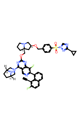 C#Cc1c(F)ccc2cccc(-c3ncc4c(N5C[C@H]6CC[C@@H](C5)N6)nc(OC[C@@]56CCCN5C[C@@H](OCc5ccc(S(=O)(=O)n7cnc(C8CC8)n7)cc5)C6)nc4c3F)c12